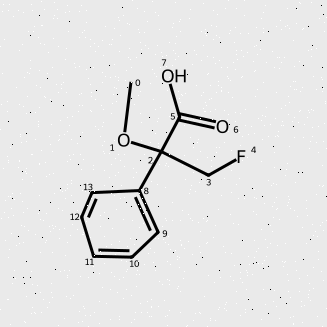 COC(CF)(C(=O)O)c1ccccc1